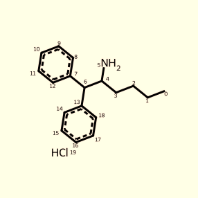 CCCCC(N)C(c1ccccc1)c1ccccc1.Cl